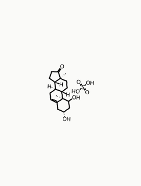 C[C@]12CC[C@H]3[C@@H](CC=C4C[C@@H](O)CC(O)[C@@]43C)[C@@H]1CCC2=O.O=S(=O)(O)O